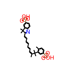 C/C(=C/C=C/C=C/C=C/C1=Nc2ccc(S(=O)(=O)O)cc2C1(C)C)C(C)(C)c1cc(S(=O)(=O)O)ccc1C